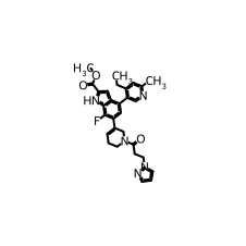 CCc1cc(C)ncc1-c1cc(C2=CCCN(C(=O)CCn3cccn3)C2)c(F)c2[nH]c(C(=O)OC)cc12